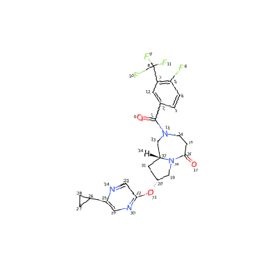 O=C(c1ccc(F)c(C(F)(F)F)c1)N1CCC(=O)N2C[C@H](Oc3cnc(C4CC4)cn3)C[C@@H]2C1